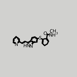 CNC(=O)C1=CCCC=C1Sc1ccc2c(/C=C/c3ccccn3)[nH]nc2c1